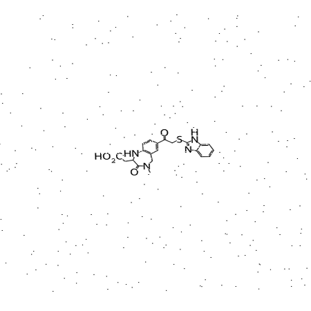 CN1Cc2cc(C(=O)CSc3nc4ccccc4[nH]3)ccc2NC(CC(=O)O)C1=O